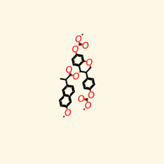 COC(=O)Oc1ccc(C2COc3cc(OC(=O)OC)ccc3C2OC(=O)C(C)c2ccc3cc(OC)ccc3c2)cc1